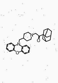 O=C(CN1CCC(CN2c3ccccc3Oc3ccccc32)CC1)C12CC3CC(CC(C3)C1)C2